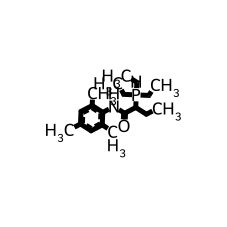 CCC(C(=O)Nc1c(C)cc(C)cc1C)[PH](CC)(CC)CC